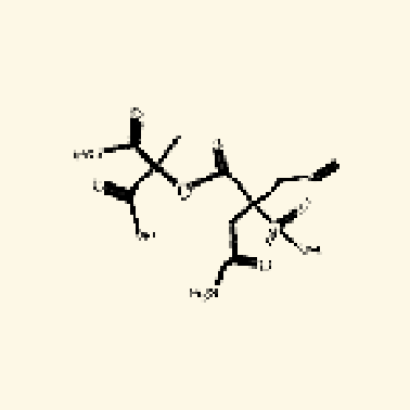 C=CCC(CC(N)=O)(C(=O)OC(C)(C(=O)O)C(=O)O)S(=O)(=O)O